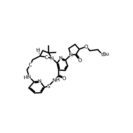 CC(C)(C)CCOC1CCN(c2ccc3c(n2)N2C[C@@H](CCCNc4cccc(n4)SNC3=O)CC2(C)C)C1=O